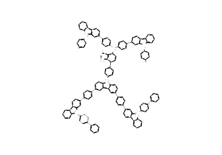 Fc1ccc(-n2c3ccccc3c3ccc(-c4ccc(N(c5ccc(-c6ccc7c8ccccc8n(-c8ccc(F)cc8)c7c6)cc5)c5ccc(-c6ccc(-n7c8ccc(-c9ccc(-c%10ccc%11c%12ccccc%12n(C%12=CC=C(c%13ccccc%13)CC%12)c%11c%10)cc9)cc8c8cc(-c9ccc(-c%10ccc%11c%12ccccc%12n(-c%12ccc(-c%13ccccc%13)cc%12)c%11c%10)cc9)ccc87)cc6)c6nsnc56)cc4)cc32)cc1